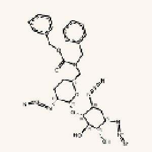 [N-]=[N+]=N[C@H]1C[C@@H](N=[N+]=[N-])[C@H](O)[C@@H](O)[C@@H]1O[C@H]1O[C@H](CN(Cc2ccccc2)C(=O)OCc2ccccc2)CC[C@H]1N=[N+]=[N-]